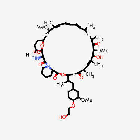 COC1CC2CCC(C)C(O)(O2)C(=N)C(=O)N2CCCCC2C(=O)OC(C(C)CC2CCC(OCCO)C(OC)C2)CC(=O)C(C)/C=C(/C)C(O)C(OC)C(=O)C(C)CC(C)/C=C/C=C/C=C\1C